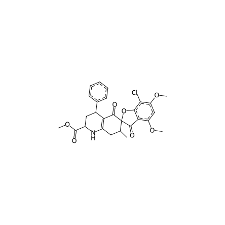 COC(=O)C1CC(c2ccccc2)C2=C(CC(C)C3(Oc4c(Cl)c(OC)cc(OC)c4C3=O)C2=O)N1